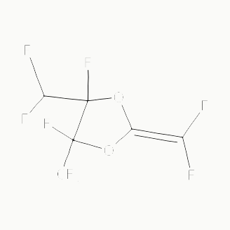 FC(F)=C1OC(F)(C(F)F)C(F)(C(F)(F)F)O1